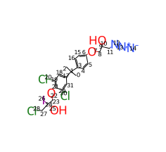 CC(C)(c1ccc(OC[C@H](O)CN=[N+]=[N-])cc1)c1cc(Cl)c(OC[C@](O)(I)CCl)c(Cl)c1